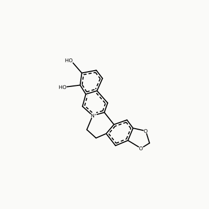 Oc1ccc2cc3[n+](cc2c1O)CCc1cc2c(cc1-3)OCO2